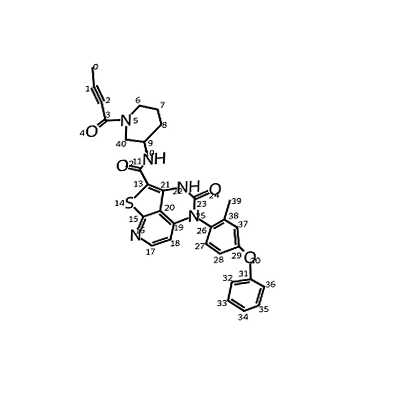 CC#CC(=O)N1CCCC(NC(=O)c2sc3nccc4c3c2NC(=O)N4c2ccc(Oc3ccccc3)cc2C)C1